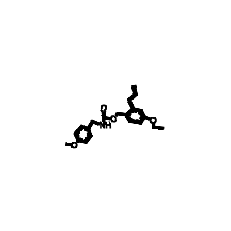 C=CCc1cc(OCC)ccc1COC(=O)NCc1ccc(OC)cc1